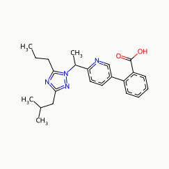 CCCc1nc(CC(C)C)nn1C(C)c1ccc(-c2ccccc2C(=O)O)cn1